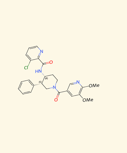 COc1cc(C(=O)N2CC[C@@H](NC(=O)c3ncccc3Cl)[C@@H](c3ccccc3)C2)cnc1OC